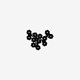 c1ccc([Si](c2ccccc2)(c2cccc(-n3c4ccccc4c4ccccc43)c2)c2nc(-n3c4ccccc4c4ccccc43)cc(-n3c4ccccc4c4cc(-n5c6ccccc6c6ccccc65)ccc43)n2)cc1